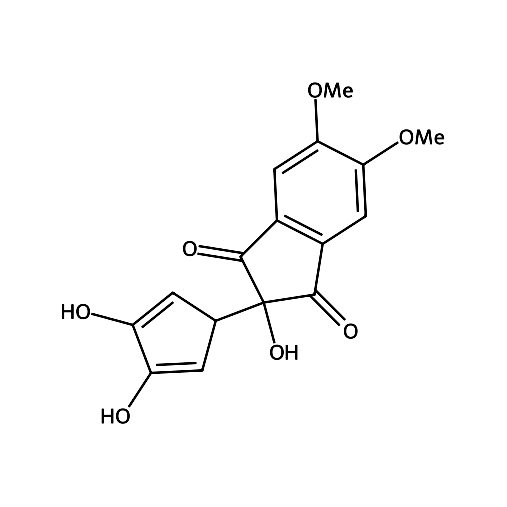 COc1cc2c(cc1OC)C(=O)C(O)(C1C=C(O)C(O)=C1)C2=O